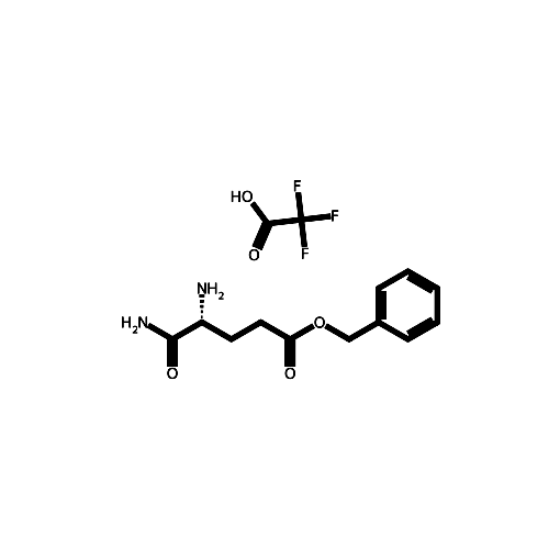 NC(=O)[C@H](N)CCC(=O)OCc1ccccc1.O=C(O)C(F)(F)F